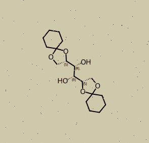 O[C@H]([C@@H](O)[C@@H]1COC2(CCCCC2)O1)[C@@H]1COC2(CCCCC2)O1